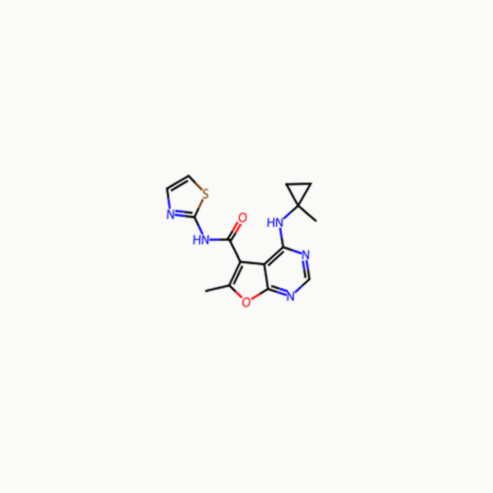 Cc1oc2ncnc(NC3(C)CC3)c2c1C(=O)Nc1nccs1